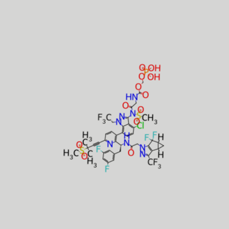 CC(C)(C#Cc1ccc(-c2ccc(Cl)c3c(N(C(=O)CNC(=O)OCOP(=O)(O)O)S(C)(=O)=O)nn(CC(F)(F)F)c23)c([C@H](Cc2cc(F)cc(F)c2)NC(=O)Cn2nc(C(F)(F)F)c3c2C(F)(F)[C@@H]2C[C@H]32)n1)S(C)(=O)=O